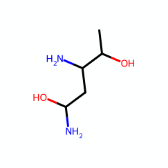 CC(O)C(N)CC(N)O